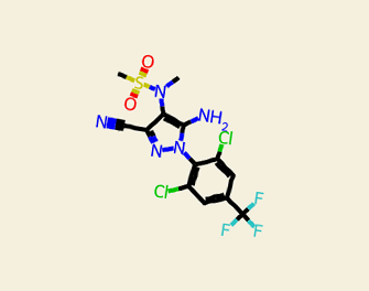 CN(c1c(C#N)nn(-c2c(Cl)cc(C(F)(F)F)cc2Cl)c1N)S(C)(=O)=O